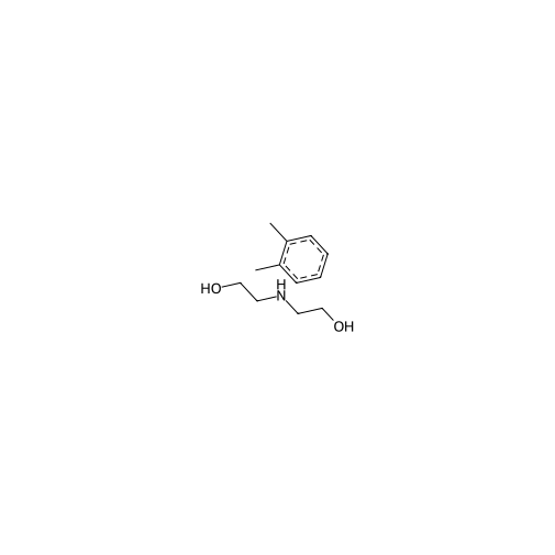 Cc1ccccc1C.OCCNCCO